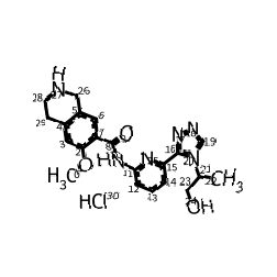 COc1cc2c(cc1C(=O)Nc1cccc(-c3nncn3C(C)CO)n1)CNCC2.Cl